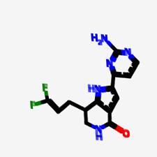 Nc1nccc(-c2cc3c([nH]2)C(CC=C(F)F)CNC3=O)n1